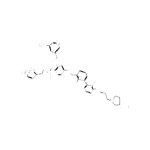 Cc1c(COc2cc(OCc3cncc(C#N)c3)c(CNCCc3cc[nH]n3)cc2Cl)cccc1-c1cccc(OCCCN2CC[C@@H](O)C2)c1C